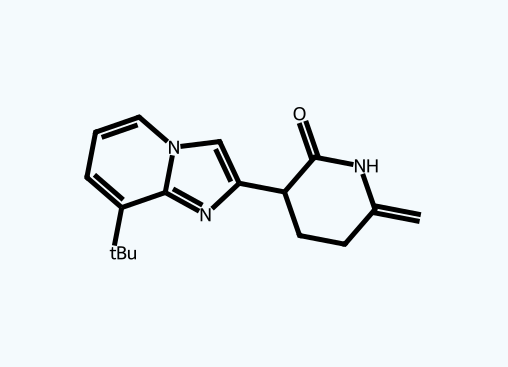 C=C1CCC(c2cn3cccc(C(C)(C)C)c3n2)C(=O)N1